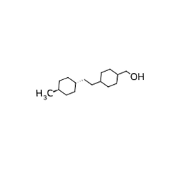 C[C@H]1CC[C@H](CCC2CCC(CO)CC2)CC1